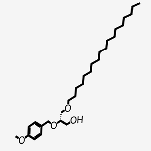 CCCCCCCCCCCCCCCCCCOC[C@H](CO)OCc1ccc(OC)cc1